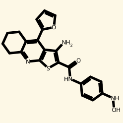 Nc1c(C(=O)Nc2ccc(NO)cc2)sc2nc3c(c(-c4ccco4)c12)CCCC3